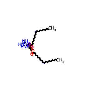 CCCCCCCC/C=C\CCCCCCCC(=O)OCC(CNC(=N)NC(=N)N)OC(=O)CCCCCCC/C=C\CCCCCCCC